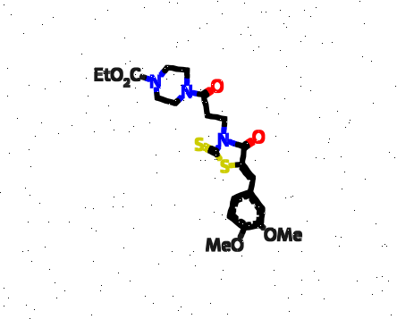 CCOC(=O)N1CCN(C(=O)CCN2C(=O)/C(=C/c3ccc(OC)c(OC)c3)SC2=S)CC1